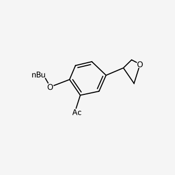 CCCCOc1ccc(C2COC2)cc1C(C)=O